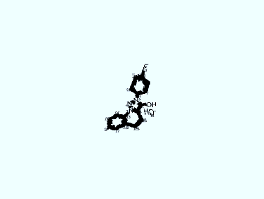 Oc1c2[n+](nn1-c1ccc(F)cc1)-c1ccccc1CC2.[OH-]